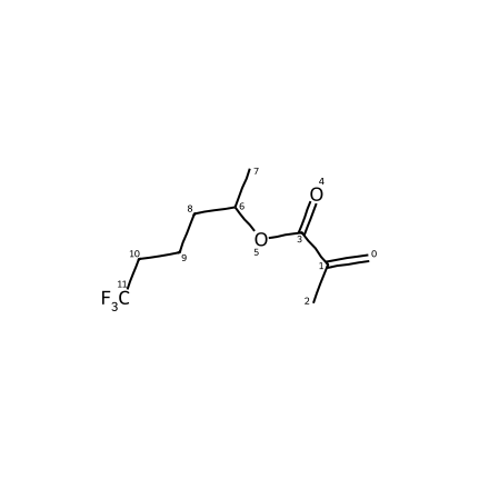 C=C(C)C(=O)OC(C)CCCC(F)(F)F